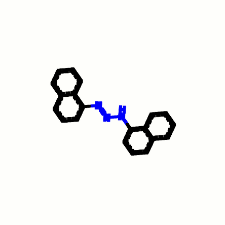 c1ccc2c(N=NNc3cccc4ccccc34)cccc2c1